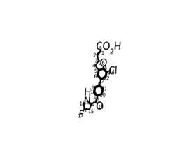 O=C(O)/C=C/C1Cc2cc(-c3ccc(C(=O)C4CC(F)CN4)cc3)cc(Cl)c2O1